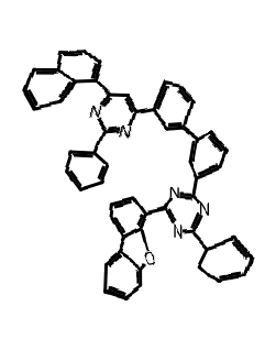 C1=CCC(c2nc(-c3cccc(-c4cccc(-c5cc(-c6cccc7ccccc67)nc(-c6ccccc6)n5)c4)c3)nc(-c3cccc4c3oc3ccccc34)n2)C=C1